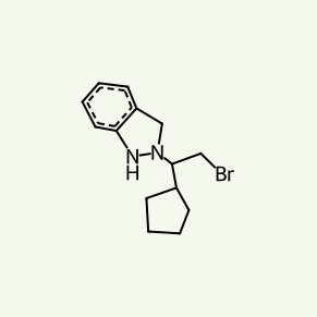 BrCC(C1CCCC1)N1Cc2ccccc2N1